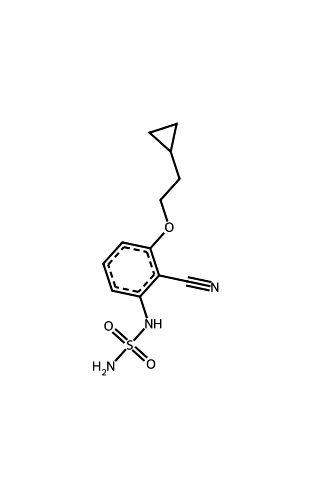 N#Cc1c(NS(N)(=O)=O)cccc1OCCC1CC1